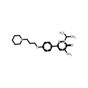 Cc1cc(-c2ccc(OCCCN3CCCCC3)cc2)nn(C(C)C)c1=O